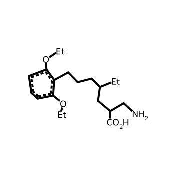 CCOc1cccc(OCC)c1CCCC(CC)CC(CN)C(=O)O